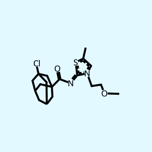 COCCn1cc(C)sc1=NC(=O)C12CC3CC(CC(Cl)(C3)C1)C2